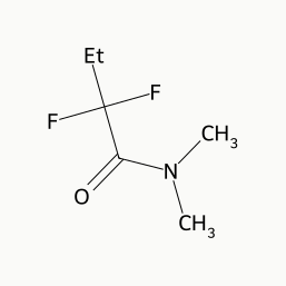 CCC(F)(F)C(=O)N(C)C